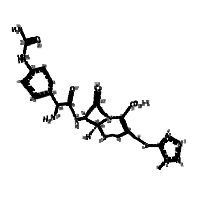 Cn1nnnc1SCC1=C(C(=O)O)N2C(=O)C(NC(=O)C(N)c3ccc(NC(N)=O)cc3)[C@@H]2SC1